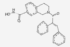 O=C(NO)c1ccc2c(c1)CN(C(=O)C(=Cc1ccccc1)c1ccccc1)CC2